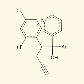 C#CCC(c1ccc(Cl)cc1Cl)C(O)(C(C)=O)c1cccnc1